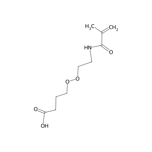 C=C(C)C(=O)NCCOOCCCC(=O)O